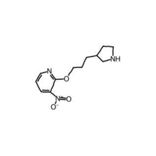 O=[N+]([O-])c1cccnc1OCCCC1CCNC1